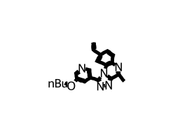 C=Cc1ccc2nc(C)c3nnc(-c4cncc(OCCCC)c4)n3c2c1